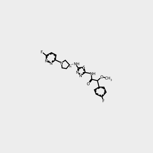 COC(C(=O)Nc1nnc(N[C@@H]2CCN(c3ccc(F)nn3)C2)s1)c1ccc(F)cc1